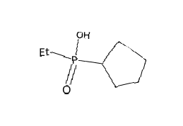 CCP(=O)(O)C1CCCC1